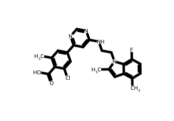 Cc1cc(-c2cc(NCCn3c(C)cc4c(C)ccc(F)c43)ncn2)cc(Cl)c1C(=O)O